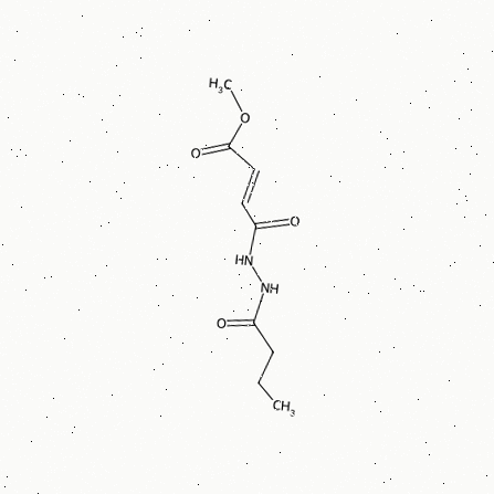 CCCC(=O)NNC(=O)/C=C/C(=O)OC